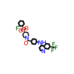 O=C(c1ccc(Nc2ccnc3cc(C(F)(F)F)ccc23)cc1)N1CCC(S(=O)(=O)c2ccccc2F)CC1